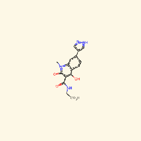 Cn1c(=O)c(C(=O)NCC(=O)O)c(O)c2ccc(-c3cn[nH]c3)cc21